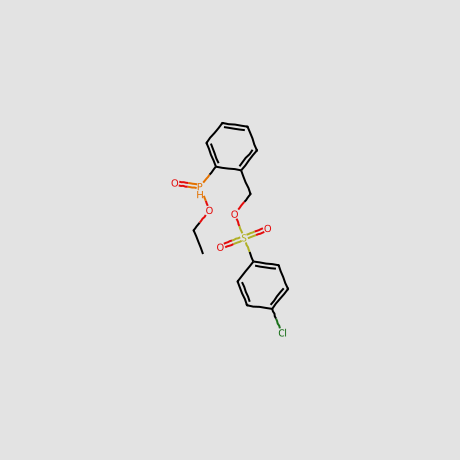 CCO[PH](=O)c1ccccc1COS(=O)(=O)c1ccc(Cl)cc1